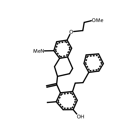 C=C(c1c(C)cc(O)cc1CCc1ccccc1)C1CCc2cc(OCCOC)cc(NC)c2C1